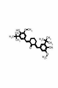 COc1cc(/C=C2\CCC/C(=C\c3cc(OC)c(O)c(C(C)(C)C)c3)C2=O)cc(C(C)(C)C)c1O